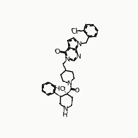 O=C(N1CCC(Cn2cnc3c(ccn3Cc3ccccc3Cl)c2=O)CC1)[C@@]1(O)CCNC[C@H]1c1ccccc1